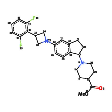 COC(=O)C1CCN(C2CCc3cc(N4CC(c5c(F)cccc5F)C4)ccc32)CC1